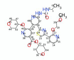 CCNC(=O)Nc1cc(-c2nc(-c3cccnc3OCCOC)cs2)c(-c2cc(C(=O)OC3CCOCC3)cnc2OC2CCOCC2)cn1